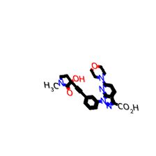 CN1CCC(O)(C#Cc2cccc(-n3nc(C(=O)O)c4ccc(N5CCOCC5)nc43)c2)C1=O